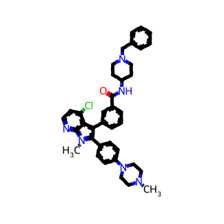 CN1CCN(c2ccc(-c3c(-c4cccc(C(=O)NC5CCN(Cc6ccccc6)CC5)c4)c4c(Cl)ccnc4n3C)cc2)CC1